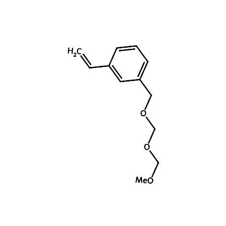 C=Cc1cccc(COCOCOC)c1